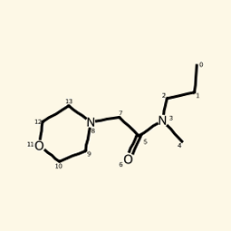 CCCN(C)C(=O)CN1CCOCC1